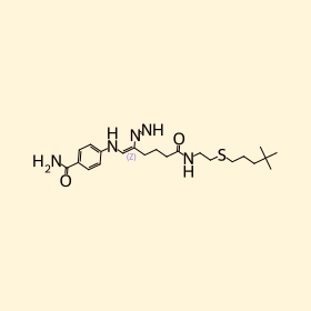 CC(C)(C)CCCSCCNC(=O)CCC/C(=C/Nc1ccc(C(N)=O)cc1)N=N